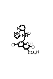 O=C(NCc1cc(Cl)cc2cc(C(=O)O)c(=O)[nH]c12)c1cccnc1-n1cccn1